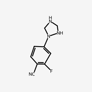 N#Cc1ccc(N2CNCN2)cc1F